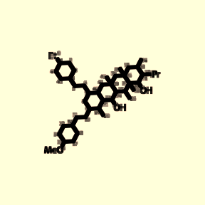 CCC1CCC(CCC2CC(CCC3CCC(OC)CC3)C(C)C3C(O)C4C(C)C5(C)C(O)C(C(C)C)C(C)CC5(C)CC4(C)CC23)CC1